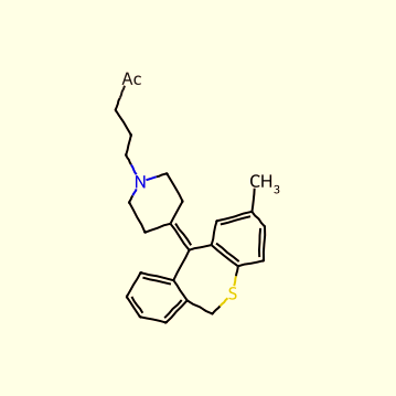 CC(=O)CCCN1CCC(=C2c3ccccc3CSc3ccc(C)cc32)CC1